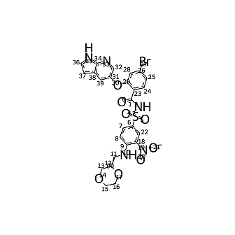 O=C(NS(=O)(=O)c1ccc(NC[C@@H]2COCCO2)c([N+](=O)[O-])c1)c1ccc(Br)cc1Oc1cnc2[nH]ccc2c1